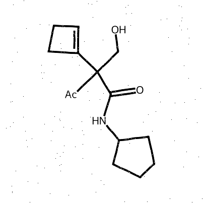 CC(=O)C(CO)(C(=O)NC1CCCC1)C1=CCC1